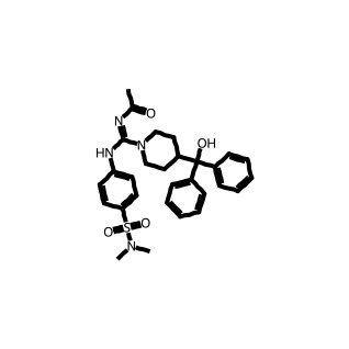 CC(=O)/N=C(/Nc1ccc(S(=O)(=O)N(C)C)cc1)N1CCC(C(O)(c2ccccc2)c2ccccc2)CC1